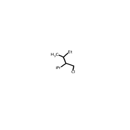 CCC(C)C(CCl)C(C)C